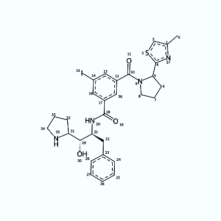 Cc1csc(C2CCCN2C(=O)c2cc(I)cc(C(=O)N[C@@H](Cc3ccccc3)[C@H](O)C3CCCN3)c2)n1